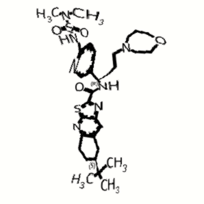 CN(C)S(=O)(=O)Nc1ccc([C@@H](CCN2CCCOCC2)NC(=O)c2nc3cc4c(nc3s2)CC[C@H](C(C)(C)C)C4)cn1